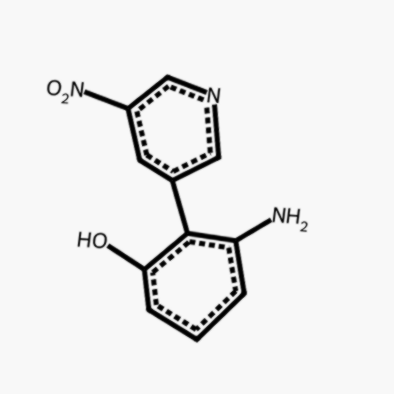 Nc1cccc(O)c1-c1cncc([N+](=O)[O-])c1